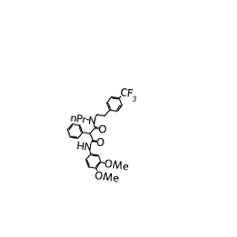 CCCN(CCc1ccc(C(F)(F)F)cc1)C(=O)C(C(=O)Nc1ccc(OC)c(OC)c1)c1ccccc1